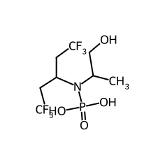 CC(CO)N(C(CC(F)(F)F)CC(F)(F)F)P(=O)(O)O